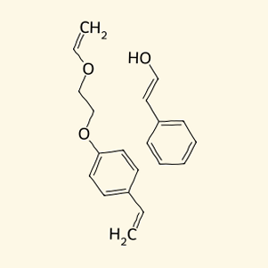 C=COCCOc1ccc(C=C)cc1.OC=Cc1ccccc1